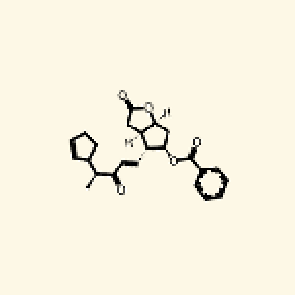 C[C@H](C(=O)C=C[C@@H]1[C@H]2CC(=O)O[C@H]2C[C@H]1OC(=O)c1ccccc1)C1C=CCC1